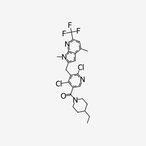 CCC1CCN(C(=O)c2cnc(Cl)c(Cc3cc4c(C)cc(C(F)(F)F)nc4n3C)c2Cl)CC1